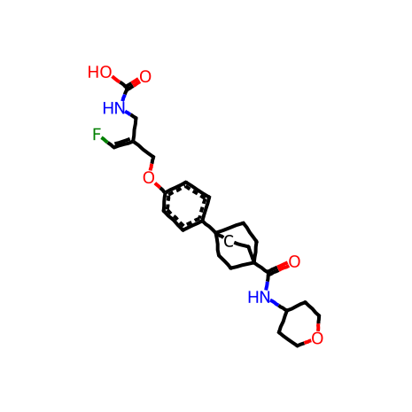 O=C(O)NCC(=CF)COc1ccc(C23CCC(C(=O)NC4CCOCC4)(CC2)CC3)cc1